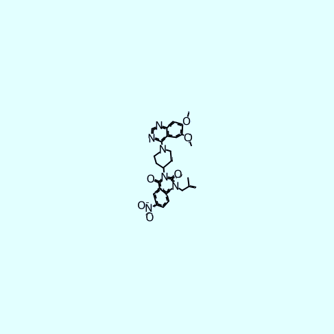 COc1cc2ncnc(N3CCC(n4c(=O)c5cc([N+](=O)[O-])ccc5n(CC(C)C)c4=O)CC3)c2cc1OC